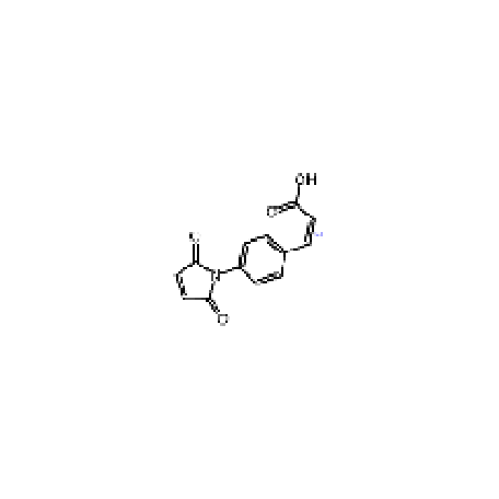 O=C(O)/C=C\c1ccc(N2C(=O)C=CC2=O)cc1